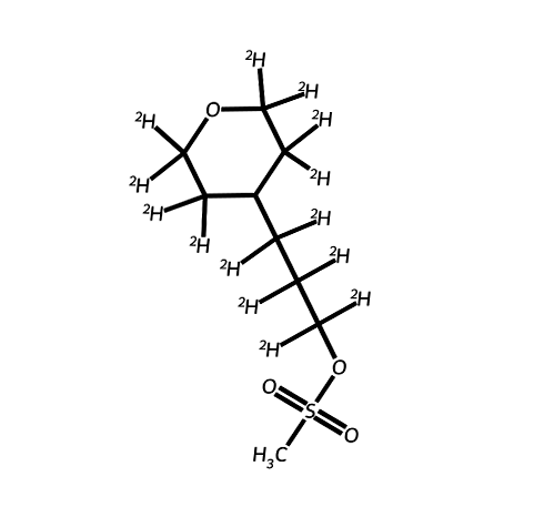 [2H]C1([2H])OC([2H])([2H])C([2H])([2H])C(C([2H])([2H])C([2H])([2H])C([2H])([2H])OS(C)(=O)=O)C1([2H])[2H]